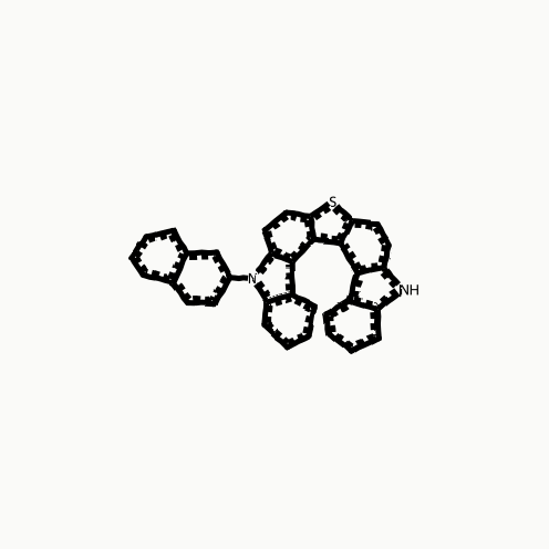 c1ccc2cc(-n3c4ccccc4c4c5c(ccc43)sc3ccc4[nH]c6ccccc6c4c35)ccc2c1